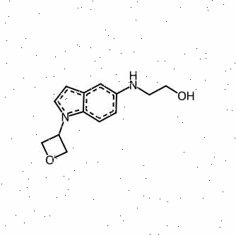 OCCNc1ccc2c(ccn2C2COC2)c1